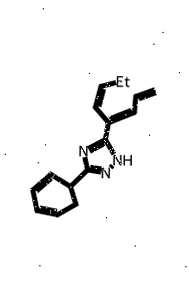 C=C/C=C(\C=C/CC)c1nc(C2C=CC=CC2)n[nH]1